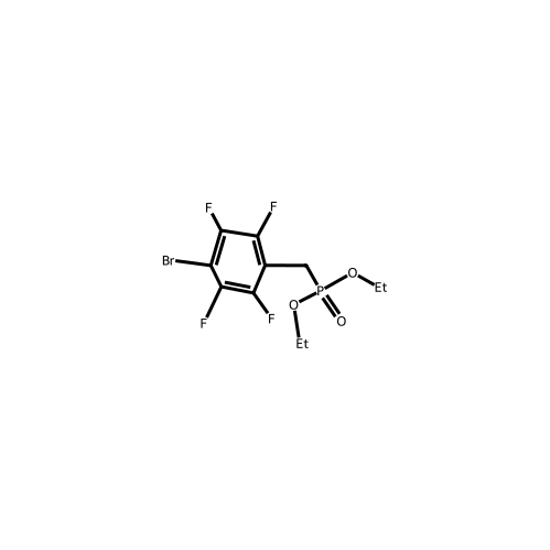 CCOP(=O)(Cc1c(F)c(F)c(Br)c(F)c1F)OCC